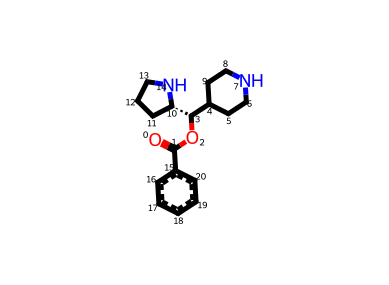 O=C(OC(C1CCNCC1)[C@@H]1CCCN1)c1ccccc1